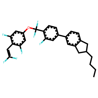 CCCCC1Cc2ccc(-c3ccc(C(F)(F)Oc4cc(F)c(C=C(F)F)c(F)c4)c(F)c3)cc2C1